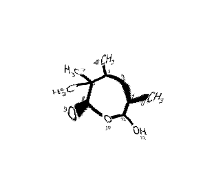 CC1CC(C)C(C)(C)C(=O)OC1O